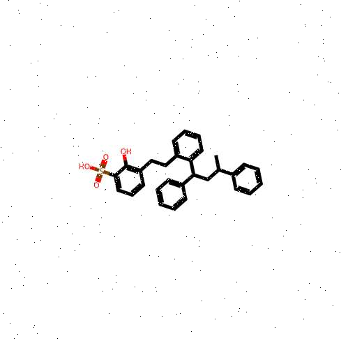 CC(CC(c1ccccc1)c1ccccc1CCc1cccc(S(=O)(=O)O)c1O)c1ccccc1